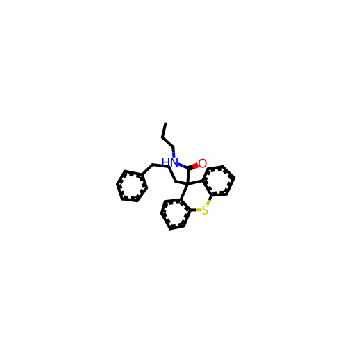 CCCNC(=O)C1(CCCc2ccccc2)c2ccccc2Sc2ccccc21